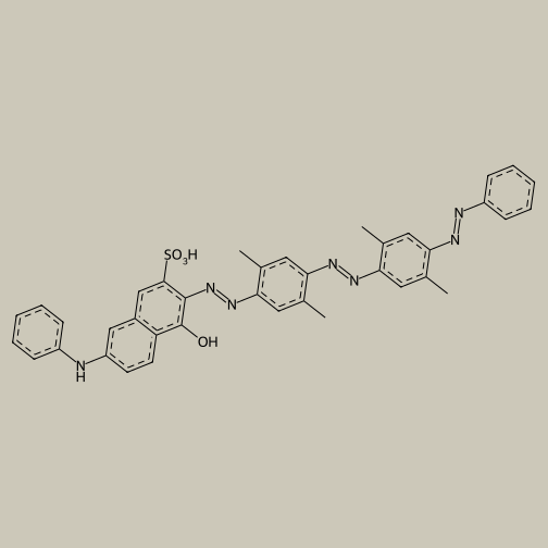 Cc1cc(N=Nc2cc(C)c(N=Nc3c(S(=O)(=O)O)cc4cc(Nc5ccccc5)ccc4c3O)cc2C)c(C)cc1N=Nc1ccccc1